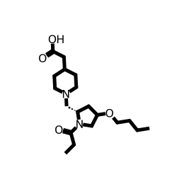 CCCCOC1C[C@@H](CN2CCC(CC(=O)O)CC2)N(C(=O)CC)C1